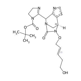 CC(C)(C)OC(=O)N1CCN=C1C1c2ncsc2[C@@H]2CN1C(=O)N2OC/C=C/CCO